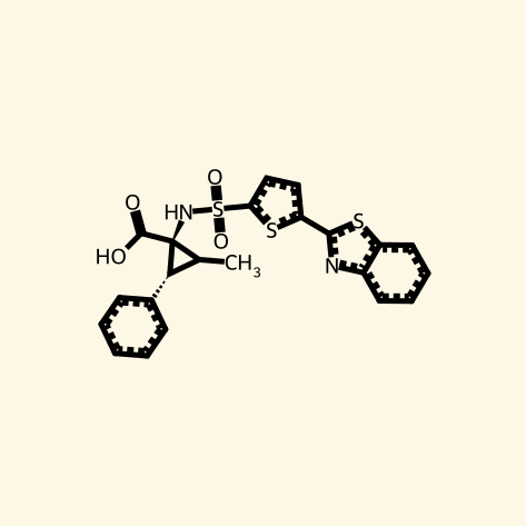 CC1[C@H](c2ccccc2)[C@]1(NS(=O)(=O)c1ccc(-c2nc3ccccc3s2)s1)C(=O)O